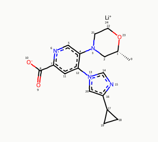 C[C@@H]1CN(c2cnc(C(=O)[O-])cc2-n2cnc(C3CC3)c2)CCO1.[Li+]